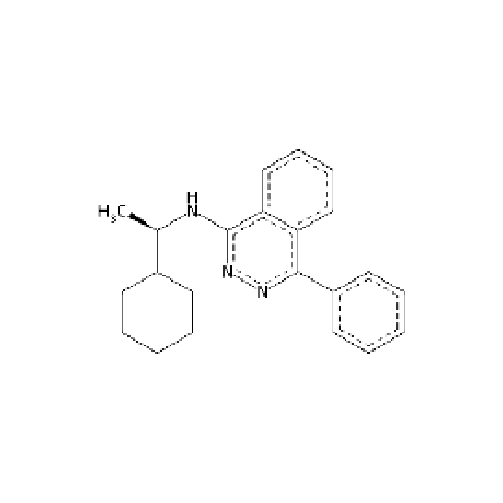 C[C@@H](Nc1nnc(-c2ccccc2)c2ccccc12)C1CCCCC1